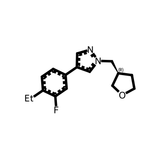 CCc1ccc(-c2cnn(C[C@H]3CCOC3)c2)cc1F